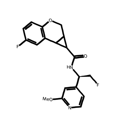 COc1cc([C@H](CF)NC(=O)C2C3COc4ccc(F)cc4C32)ccn1